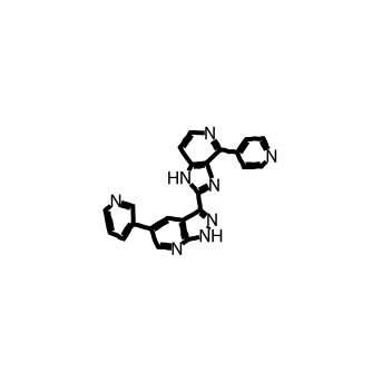 c1cncc(-c2cnc3[nH]nc(-c4nc5c(-c6ccncc6)nccc5[nH]4)c3c2)c1